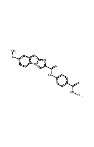 CNC(=O)c1ccc(NC(=O)c2cn3c(n2)sc2cc(OC)ccc23)cc1